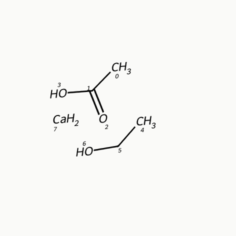 CC(=O)O.CCO.[CaH2]